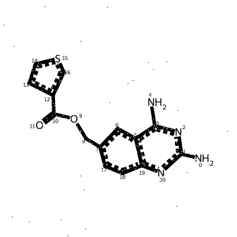 Nc1nc(N)c2cc(COC(=O)c3ccsc3)ccc2n1